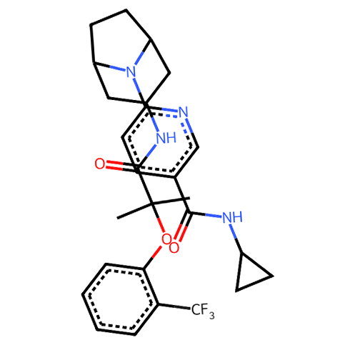 CC(C)(Oc1ccccc1C(F)(F)F)C(=O)NC1CC2CCC(C1)N2c1ccc(C(=O)NC2CC2)cn1